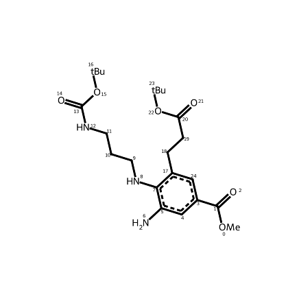 COC(=O)c1cc(N)c(NCCCNC(=O)OC(C)(C)C)c(CCC(=O)OC(C)(C)C)c1